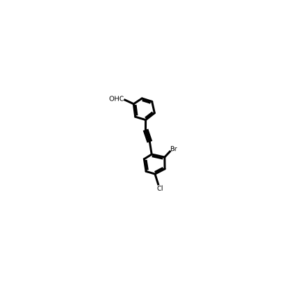 O=Cc1cccc(C#Cc2ccc(Cl)cc2Br)c1